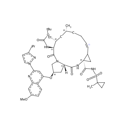 CC[C@@H]1C[C@H](C)CC/C=C\C2C[C@@]2(C(=O)NS(=O)(=O)C2(C)CC2)NC(=O)[C@@H]2C[C@@H](Oc3cc(-n4ccc(C(C)C)n4)nc4cc(OC)ccc34)CN2C(=O)[C@H]1NC(=O)OC(C)(C)C